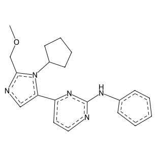 COCc1ncc(-c2ccnc(Nc3ccccc3)n2)n1C1CCCC1